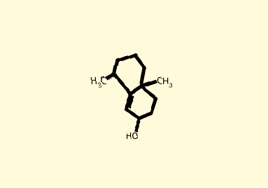 CC1CCCC2(C)CCC(O)C=C12